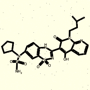 CC(C)CCn1c(=O)c(C2=NS(=O)(=O)c3cc(N(C4CCCC4)S(N)(=O)=O)ccc3N2)c(O)c2cccnc21